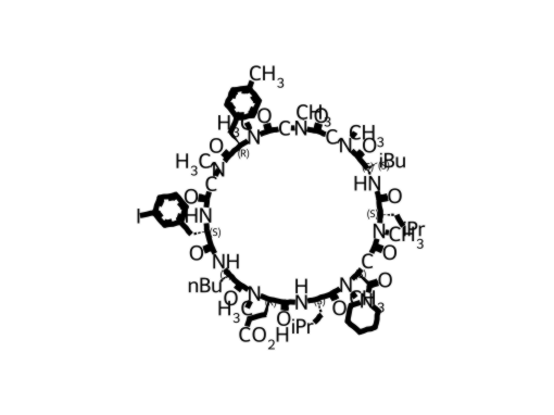 CCCC[C@@H]1NC(=O)[C@H](Cc2cccc(I)c2)NC(=O)CN(C)C(=O)[C@@H](Cc2ccc(C)cc2)N(C)C(=O)CN(C)C(=O)CN(C)C(=O)[C@H]([C@@H](C)CC)NC(=O)[C@H](CC(C)C)N(C)C(=O)C[C@@H](C(=O)N2CCCCC2)N(C)C(=O)[C@H](CC(C)C)NC(=O)[C@@H](CCC(=O)O)N(C)C1=O